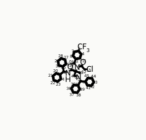 C[C@@H](c1ccc(C(F)(F)F)cc1)N(C(=O)CCl)C1(C(=O)NC(c2ccccc2)c2ccccc2)CN(C(c2ccccc2)c2ccccc2)C1